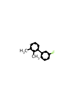 Cc1[c]ccc(-c2cccc(F)c2)c1C